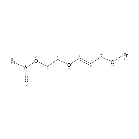 CCC(=O)OCCO/C=C/COC(C)C